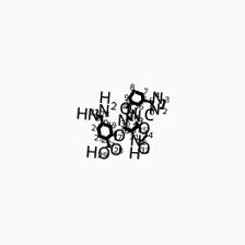 CN1CCN=C1c1cccc(Oc2nc3c(c(Oc4cc(C(=N)N)ccc4C(=O)O)n2)NC(=O)CO3)c1